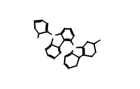 N#CC1CC=CC=C1n1c2ccccc2c2c(N3C4=CC=CCC4C4=C3CC(F)CC4)cccc21